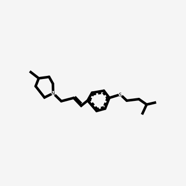 CC(C)CCSc1ccc(C=CCN2CCC(C)CC2)cc1